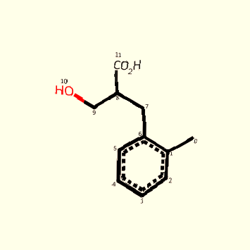 Cc1ccccc1CC(CO)C(=O)O